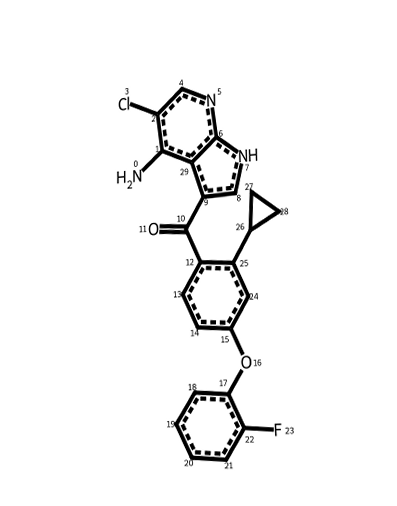 Nc1c(Cl)cnc2[nH]cc(C(=O)c3ccc(Oc4ccccc4F)cc3C3CC3)c12